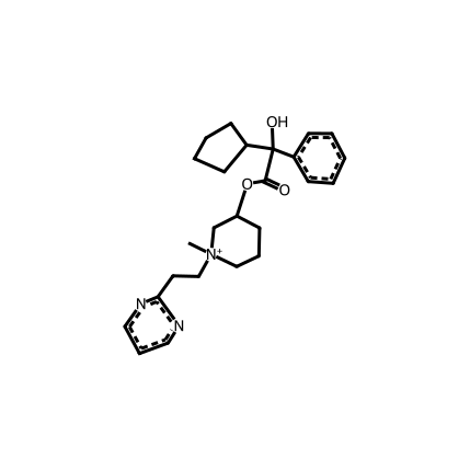 C[N+]1(CCc2ncccn2)CCCC(OC(=O)C(O)(c2ccccc2)C2CCCC2)C1